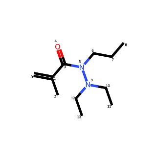 C=C(C)C(=O)N(CCC)N(CC)CC